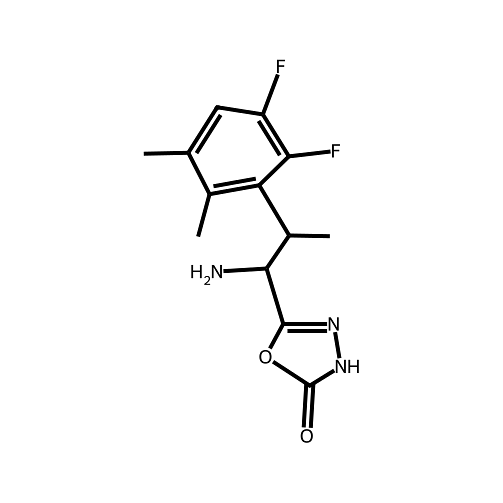 Cc1cc(F)c(F)c(C(C)C(N)c2n[nH]c(=O)o2)c1C